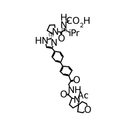 CC(=O)N1C(C(=O)NCC(=O)c2ccc(-c3ccc(-c4c[nH]c([C@@H]5CCCN5C(=O)[C@@H](NC(=O)O)C(C)C)n4)cc3)cc2)CCC12CCOCC2